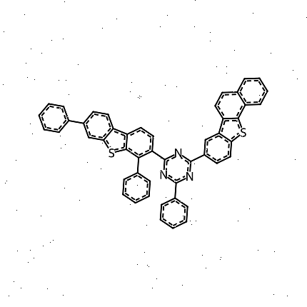 c1ccc(-c2ccc3c(c2)sc2c(-c4ccccc4)c(-c4nc(-c5ccccc5)nc(-c5ccc6sc7c8ccccc8ccc7c6c5)n4)ccc23)cc1